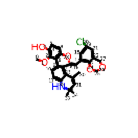 COc1c(O)ccc2c1-c1ccc3c(c1/C(=C/c1cc(Cl)cc4c1OCOC4)O2)C(C)=CC(C)(C)N3